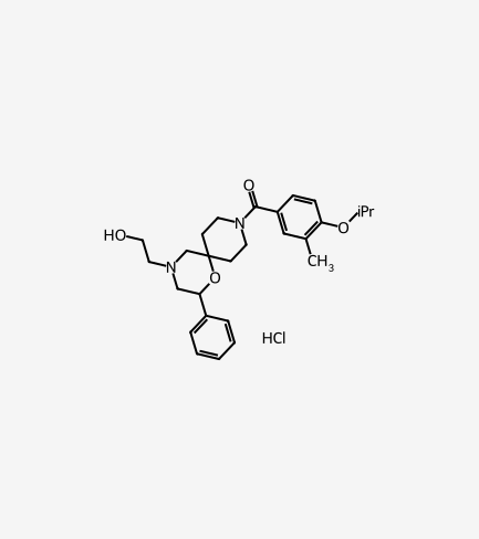 Cc1cc(C(=O)N2CCC3(CC2)CN(CCO)CC(c2ccccc2)O3)ccc1OC(C)C.Cl